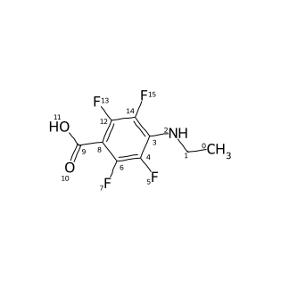 CCNc1c(F)c(F)c(C(=O)O)c(F)c1F